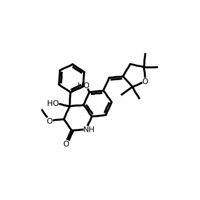 COC1C(=O)Nc2ccc(/C=C3/CC(C)(C)OC3(C)C)c(O)c2C1(O)c1ccccc1